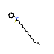 CCCCCCCCCCCCCC(=S)Nc1ccccc1